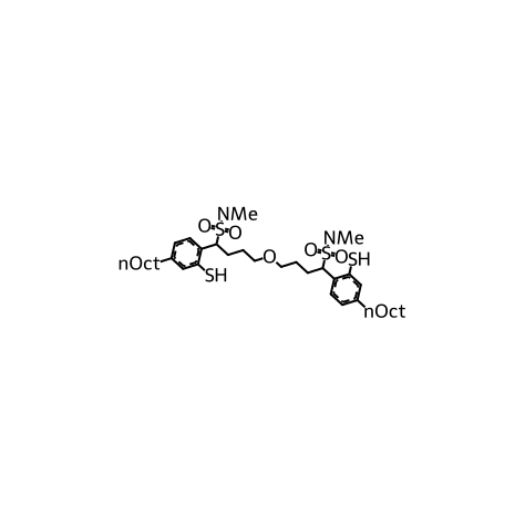 CCCCCCCCc1ccc(C(CCCOCCCC(c2ccc(CCCCCCCC)cc2S)S(=O)(=O)NC)S(=O)(=O)NC)c(S)c1